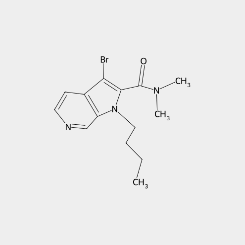 CCCCn1c(C(=O)N(C)C)c(Br)c2ccncc21